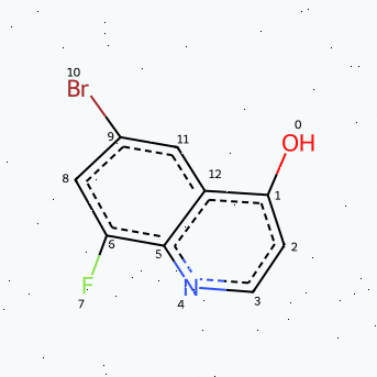 Oc1ccnc2c(F)cc(Br)cc12